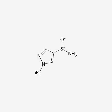 CC(C)n1cc([S+](N)[O-])cn1